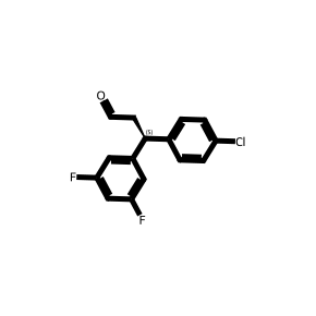 O=CC[C@@H](c1ccc(Cl)cc1)c1cc(F)cc(F)c1